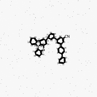 N#Cc1cc(-c2ccc(-c3ccccc3)cc2)cc(-c2cccc(-c3cc4c5c(c3)c3ccccc3n5-c3ccccc3S4)c2)c1